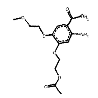 COCCOc1cc(C(N)=O)c(N)cc1OCCOC(C)=O